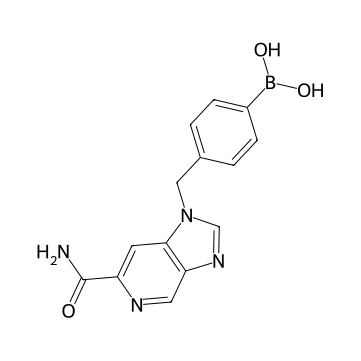 NC(=O)c1cc2c(cn1)ncn2Cc1ccc(B(O)O)cc1